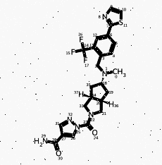 CN(Cc1ccc(-c2nccs2)cc1C(F)(F)F)[C@@H]1C[C@@H]2CN(C(=O)n3cc(C(N)=O)cn3)C[C@@H]2C1